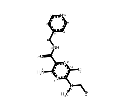 CC(C)CN(C)c1nc(N)c(C(=O)NCc2ccncc2)nc1Cl